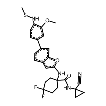 COc1cc(-c2ccc3cc(NC4(C(=O)NC5(C#N)CC5)CCC(F)(F)CC4)oc3c2)ccc1NSC